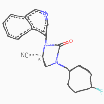 N#C[C@H]1CN(C2CCC(F)CC2)C(=O)N1c1cncc2ccccc12